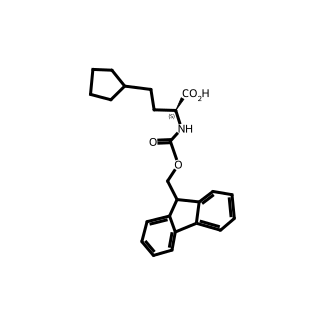 O=C(N[C@@H](CCC1CCCC1)C(=O)O)OCC1c2ccccc2-c2ccccc21